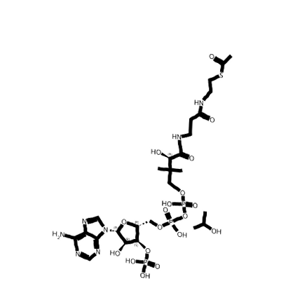 CC(=O)SCCNC(=O)CCNC(=O)[C@H](O)C(C)(C)COP(=O)(O)OP(=O)(O)OC[C@H]1O[C@@H](n2cnc3c(N)ncnc32)[C@H](O)[C@@H]1OP(=O)(O)O.CC(C)O